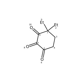 CCC1(CC)CCC(=O)C(=O)C1=O